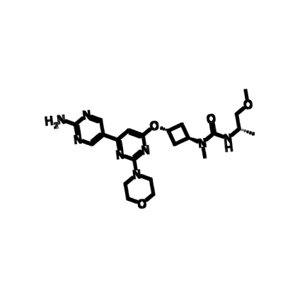 COC[C@H](C)NC(=O)N(C)[C@H]1C[C@H](Oc2cc(-c3cnc(N)nc3)nc(N3CCOCC3)n2)C1